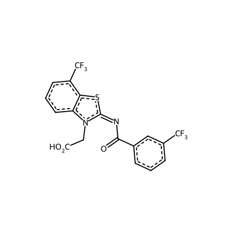 O=C(O)Cn1c(=NC(=O)c2cccc(C(F)(F)F)c2)sc2c(C(F)(F)F)cccc21